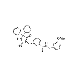 COc1cccc(CNC(=O)c2cccc(CN3C(=N)NC(c4ccccc4)(c4ccccc4)C3=O)c2)c1